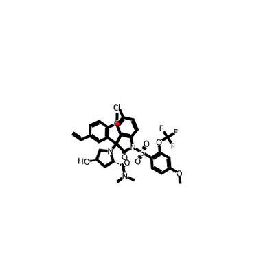 C=Cc1ccc(OC)c(C2(N3C[C@H](O)C[C@H]3C(=O)N(C)C)C(=O)N(S(=O)(=O)c3ccc(OC)cc3OC(F)(F)F)c3ccc(Cl)cc32)c1